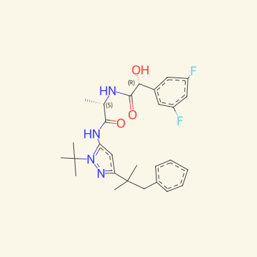 C[C@H](NC(=O)[C@H](O)c1cc(F)cc(F)c1)C(=O)Nc1cc(C(C)(C)Cc2ccccc2)nn1C(C)(C)C